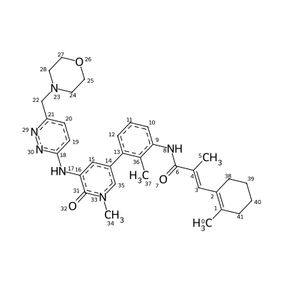 CC1=C(/C=C(\C)C(=O)Nc2cccc(-c3cc(Nc4ccc(CN5CCOCC5)nn4)c(=O)n(C)c3)c2C)CCCC1